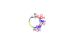 O=C1CNC(=O)[C@H]2CSSCC/C=C/[C@H](CC(O)NCC(=O)N2)OC(=O)CN1